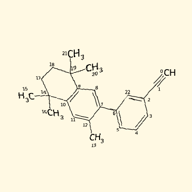 C#Cc1cccc(-c2cc3c(cc2C)C(C)(C)CCC3(C)C)c1